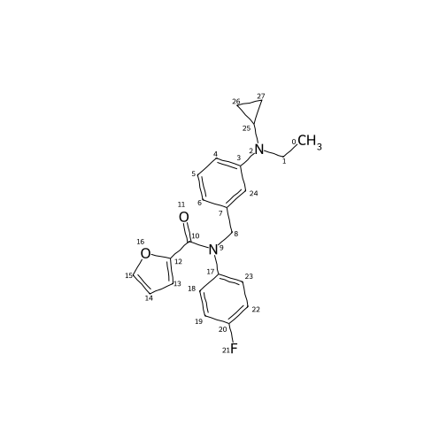 CCN(c1cccc(CN(C(=O)c2ccco2)c2ccc(F)cc2)c1)C1CC1